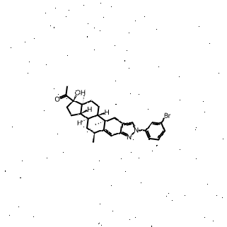 CC(=O)[C@@]1(O)CC[C@H]2[C@@H]3C[C@H](C)C4=Cc5nn(-c6cccc(Br)c6)cc5C[C@]4(C)[C@H]3CC[C@@]21C